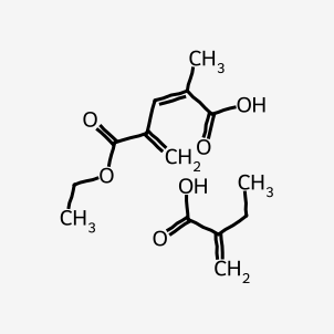 C=C(C=C(C)C(=O)O)C(=O)OCC.C=C(CC)C(=O)O